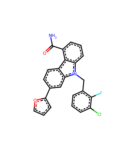 NC(=O)c1cccc2c1c1[c]cc(-c3ccco3)cc1n2Cc1cccc(Cl)c1F